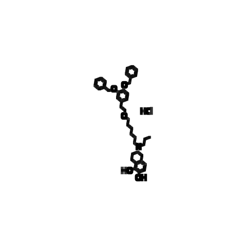 CCCN(CCCCCCOCCc1ccc(OCc2ccccc2)c(OCc2ccccc2)c1)[C@H]1CCc2c(ccc(O)c2O)C1.Cl